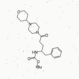 CC(C)(C)OC(=O)NC(CCC(=O)N1CCN(C2CCOCC2)CC1)Cc1ccccc1